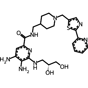 Nc1cc(C(=O)NCC2CCN(Cc3cnc(-c4ccccn4)s3)CC2)nc(NC[C@@H](O)CO)c1N